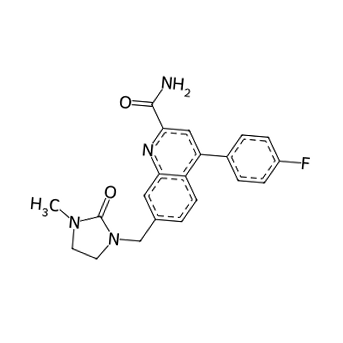 CN1CCN(Cc2ccc3c(-c4ccc(F)cc4)cc(C(N)=O)nc3c2)C1=O